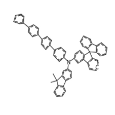 CC1(C)c2ccccc2-c2ccc(N(c3ccc(-c4ccc(-c5ccc(-c6ccccc6)cc5)cc4)cc3)c3ccc4c(c3)-c3ccccc3C43c4ccccc4-c4ccccc43)cc21